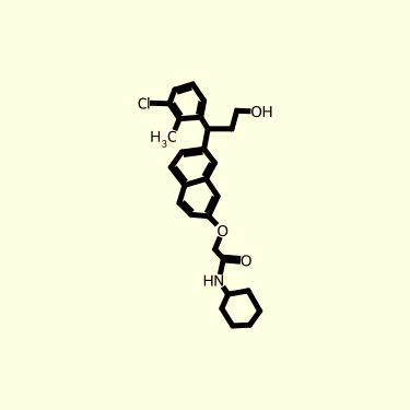 Cc1c(Cl)cccc1C(CCO)c1ccc2ccc(OCC(=O)NC3CCCCC3)cc2c1